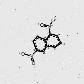 O=[N+]([O-])c1ccc2c([N+](=O)[O-])cccc2c1